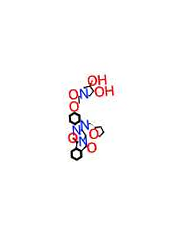 O=C(COc1ccc2nc(CN3C(=O)c4ccccc4C3=O)n(C[C@@H]3CCCO3)c2c1)N1C[C@@H](O)[C@H](O)C1